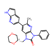 Cc1nc2c(cc1-c1cnc3[nH]ccc3c1)n(C[C@H]1COCCO1)c(=O)n2-c1ccccc1